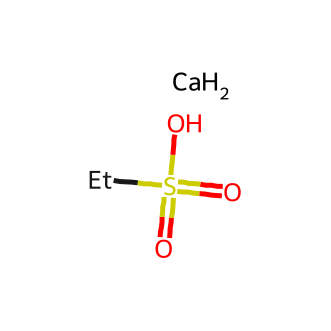 [CH2]CS(=O)(=O)O.[CaH2]